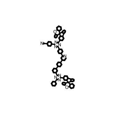 N#Cc1ccc(-c2nc(-c3ccc(-c4cc(-c5ccc(-c6cccc(-c7nc(-c8ccccc8)nc(-c8ccc9c(c8)C8(c%10ccccc%10Oc%10ccccc%108)c8ccccc8-9)n7)c6)cc5)ccn4)cc3)nc(-c3ccc4c(c3)C3(c5ccccc5Oc5ccccc53)c3ccccc3-4)n2)cc1